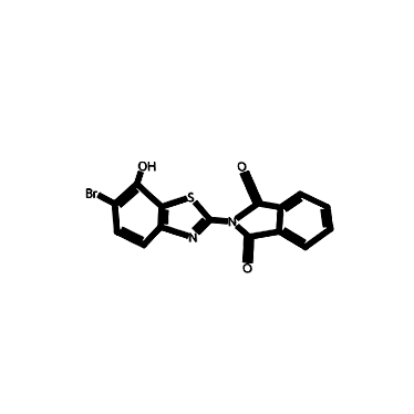 O=C1c2ccccc2C(=O)N1c1nc2ccc(Br)c(O)c2s1